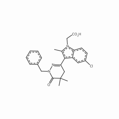 Cc1c(C2=NN(Cc3ccccc3)C(=O)C(C)(C)C2)c2cc(Cl)ccc2n1CC(=O)O